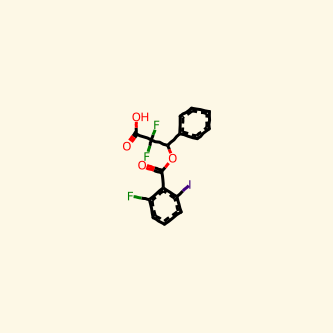 O=C(OC(c1ccccc1)C(F)(F)C(=O)O)c1c(F)cccc1I